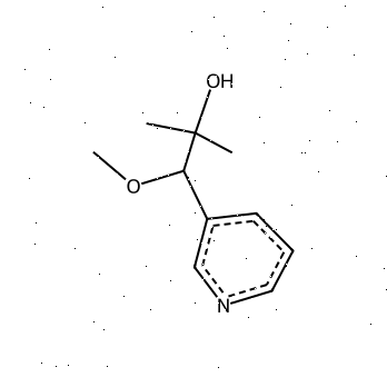 COC(c1cccnc1)C(C)(C)O